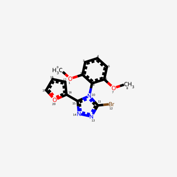 COc1cccc(OC)c1-n1c(Br)nnc1-c1ccco1